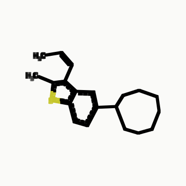 C/C=C\c1c(C)sc2ccc(C3CCCCCCC3)cc12